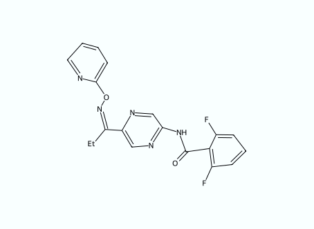 CCC(=NOc1ccccn1)c1cnc(NC(=O)c2c(F)cccc2F)cn1